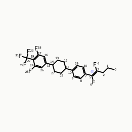 CCC/C(F)=C(\F)c1ccc(C2CCC(c3cc(F)c(C(F)(F)F)c(F)c3)CC2)cc1